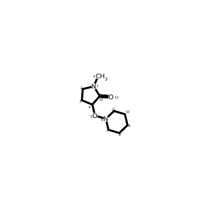 CN1CCC(ON2CCCCC2)C1=O